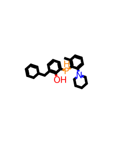 Cc1cccc(N2CCCCC2)c1Pc1cccc(CC2C=CC=CC2)c1O